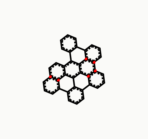 c1ccc(-c2ccccc2-c2c3ccccc3c(-c3c(-c4ccccc4)cccc3-c3ccccc3)c3ccccc23)cc1